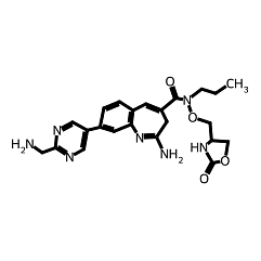 CCCN(OCC1COC(=O)N1)C(=O)C1=Cc2ccc(-c3cnc(CN)nc3)cc2N=C(N)C1